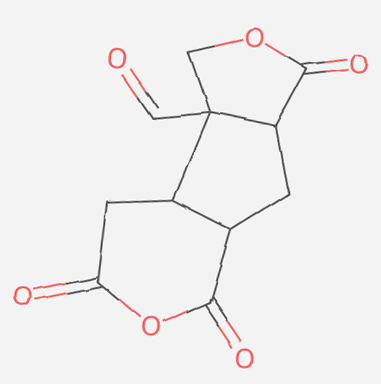 O=CC12COC(=O)C1CC1C(=O)OC(=O)CC12